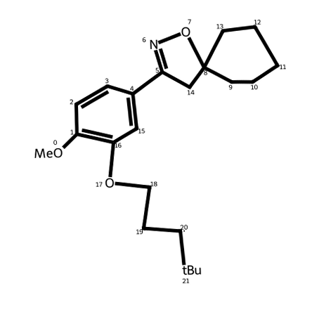 COc1ccc(C2=NOC3(CCCCC3)C2)cc1OCC[CH]C(C)(C)C